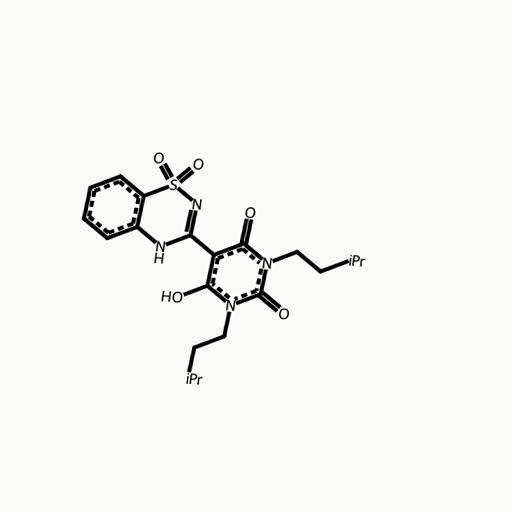 CC(C)CCn1c(O)c(C2=NS(=O)(=O)c3ccccc3N2)c(=O)n(CCC(C)C)c1=O